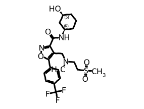 CN(CCS(C)(=O)=O)Cc1c(C(=O)N[C@@H]2CCC[C@H](O)C2)noc1-c1ccc(C(F)(F)F)cc1